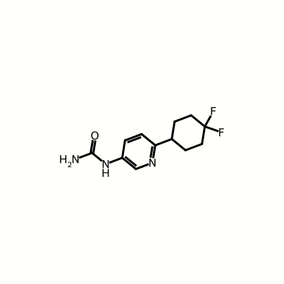 NC(=O)Nc1ccc(C2CCC(F)(F)CC2)nc1